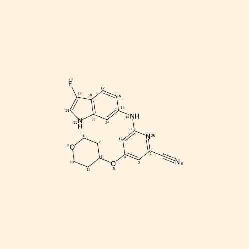 N#Cc1cc(OC2CCOCC2)cc(Nc2ccc3c(F)c[nH]c3c2)n1